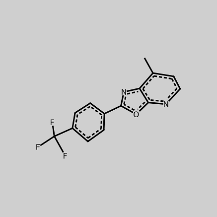 Cc1ccnc2oc(-c3ccc(C(F)(F)F)cc3)nc12